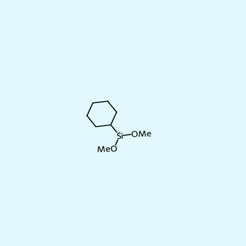 CO[Si](OC)C1CCCCC1